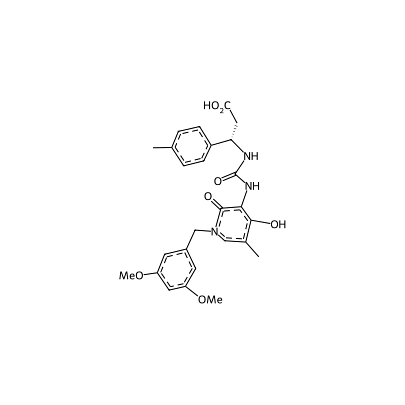 COc1cc(Cn2cc(C)c(O)c(NC(=O)N[C@@H](CC(=O)O)c3ccc(C)cc3)c2=O)cc(OC)c1